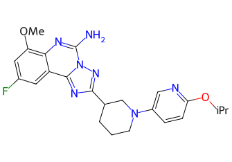 COc1cc(F)cc2c1nc(N)n1nc(C3CCCN(c4ccc(OC(C)C)nc4)C3)nc21